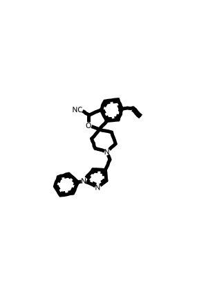 C=Cc1ccc2c(c1)C1(CCN(Cc3cnn(-c4ccccc4)c3)CC1)OC2C#N